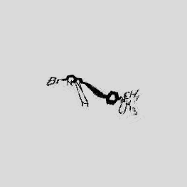 CN(C)c1ccc(C#Cc2cc3ccc(Br)nc3[nH]2)cc1